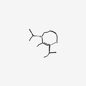 CC1=C(C(C)C)SCCCN1C(C)C